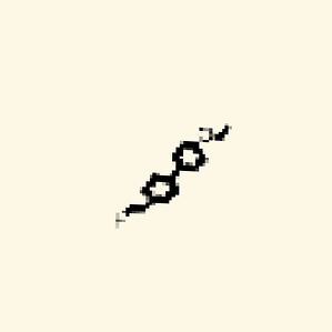 CCOc1ccc(-c2ccc(C=CF)cc2)cc1